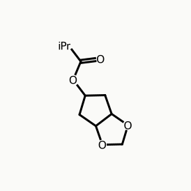 CC(C)C(=O)OC1CC2OCOC2C1